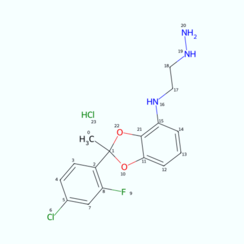 CC1(c2ccc(Cl)cc2F)Oc2cccc(NCCNN)c2O1.Cl